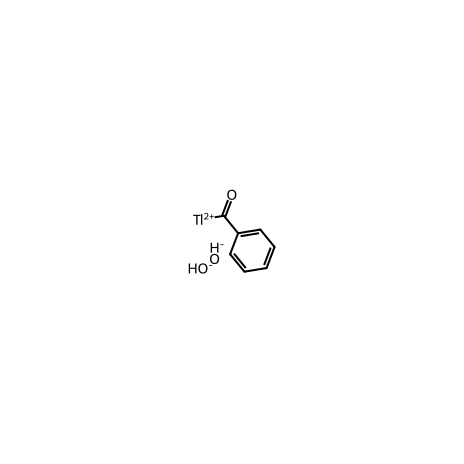 O=[C]([Tl+2])c1ccccc1.[OH-].[OH-]